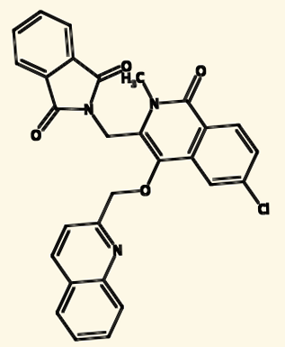 Cn1c(CN2C(=O)c3ccccc3C2=O)c(OCc2ccc3ccccc3n2)c2cc(Cl)ccc2c1=O